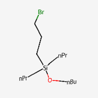 CCCCO[Si](CCC)(CCC)CCCBr